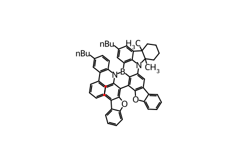 CCCCc1ccc(N2B3c4cc(CCCC)cc5c4N(c4cc6c(oc7ccccc76)c(c43)-c3c2ccc2c3oc3ccccc32)C2(C)CCCCC52C)c(-c2ccccc2)c1